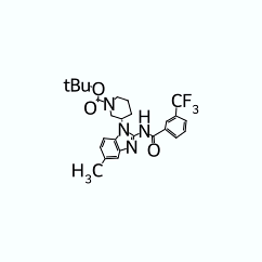 Cc1ccc2c(c1)nc(NC(=O)c1cccc(C(F)(F)F)c1)n2[C@H]1CCCN(C(=O)OC(C)(C)C)C1